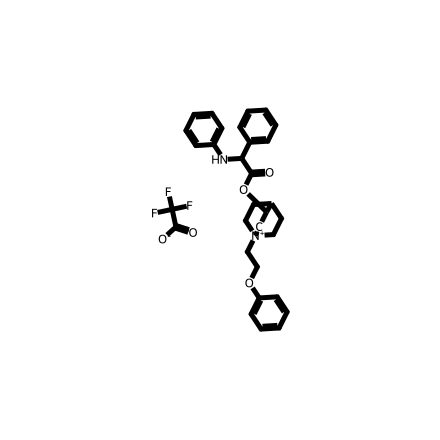 O=C(OC1C[N+]2(CCOc3ccccc3)CCC1CC2)C(Nc1ccccc1)c1ccccc1.O=C([O-])C(F)(F)F